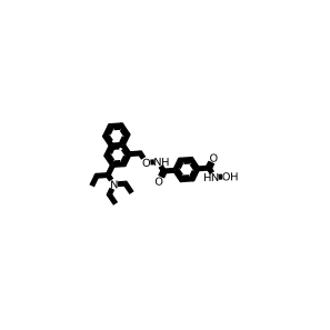 CCC(c1cc(CONC(=O)c2ccc(C(=O)NO)cc2)c2ccccc2c1)N(CC)CC